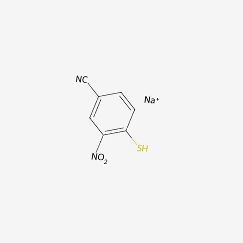 N#Cc1ccc(S)c([N+](=O)[O-])c1.[Na+]